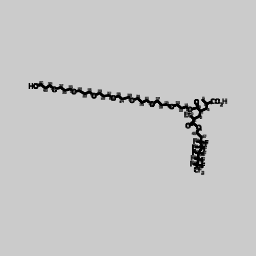 CCC(CC(CC(C)C(=O)O)C(=O)OCCCOCCCOCCCOCCCOCCCOCCCOCCCOCCCO)C(=O)OCCC(F)(F)C(F)(F)C(F)(F)C(F)(F)C(F)(F)C(F)(F)F